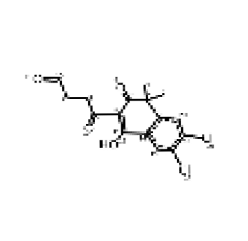 CC1(C)C(=O)C(C(=O)CCC=O)=C(O)c2cc(Cl)c(Cl)cc21